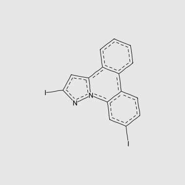 Ic1ccc2c3ccccc3c3cc(I)nn3c2c1